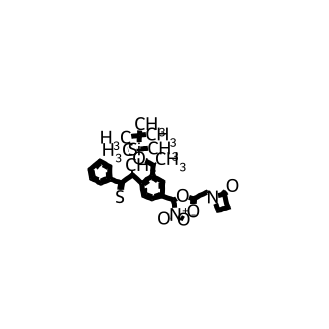 C[C@@H](O[Si](C)(C)C(C)(C)C)c1cc(C(OC(=O)CN2CCC2=O)[N+](=O)[O-])ccc1[C@@H](C)C(=S)c1ccccc1